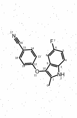 Cc1[nH]c2ccc(F)cc2c1Oc1ccc(C#N)cc1